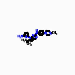 C=C(C)c1cc2cnc(Nc3ccc(N4CCN(C)CC4)cc3)nc2n1-c1cccc(N)n1